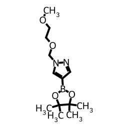 COCCOCn1cc(B2OC(C)(C)C(C)(C)O2)cn1